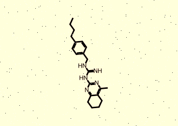 CCCCc1ccc(CNC(=N)Nc2nc(C)c3c(n2)CCCC3)cc1